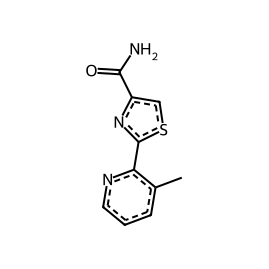 Cc1cccnc1-c1nc(C(N)=O)cs1